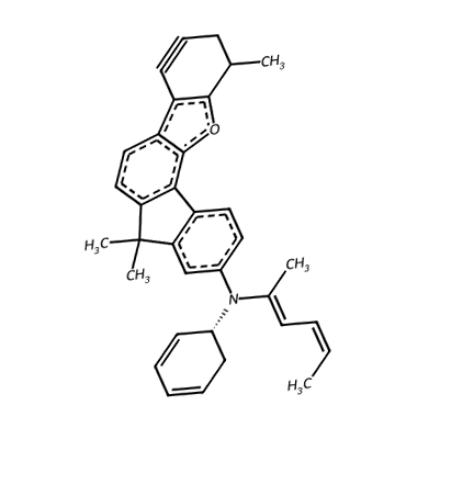 C/C=C\C=C(/C)N(c1ccc2c(c1)C(C)(C)c1ccc3c4c(oc3c1-2)C(C)CC#C4)[C@H]1C=CC=CC1